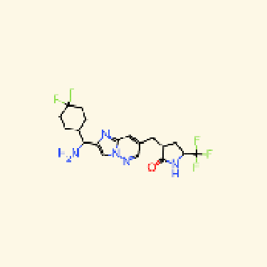 N[C@H](c1cn2ncc(C[C@H]3C[C@@H](C(F)(F)F)NC3=O)cc2n1)C1CCC(F)(F)CC1